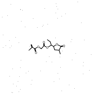 C=C(C)C(=O)OCC(=O)OC(CC)C1CC(C)C(=O)O1